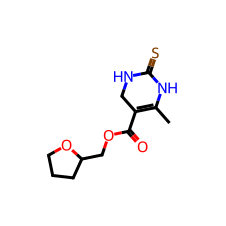 CC1=C(C(=O)OCC2CCCO2)CNC(=S)N1